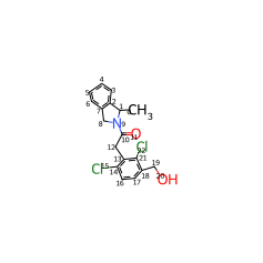 CC1c2ccccc2CN1C(=O)Cc1c(Cl)ccc(CO)c1Cl